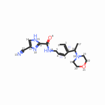 C/C=C(\C=C/CNC(=O)c1nc(C#N)c[nH]1)C(C)N1CCOCC1